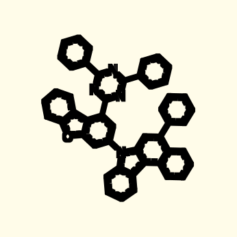 c1ccc(-c2nc(-c3ccccc3)nc(-c3cc(-n4c5ccccc5c5c6ccccc6c(-c6ccccc6)cc54)cc4oc5ccccc5c34)n2)cc1